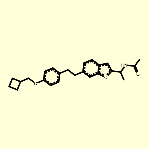 CC(=O)NC(C)c1cc2ccc(CCc3ccc(OCC4CCC4)cc3)cc2o1